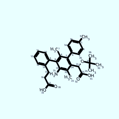 Cc1ccc(-c2c(C)c(-c3ccccc3CCC(=O)O)c(N)c(C)c2[C@H](OC(C)(C)C)C(=O)O)cc1